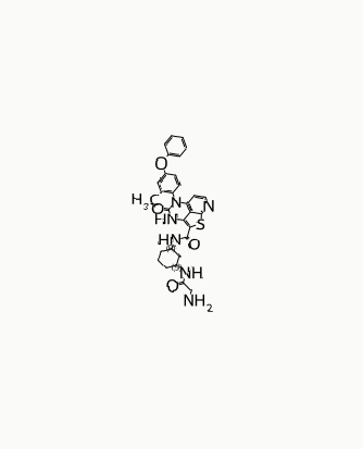 Cc1cc(Oc2ccccc2)ccc1N1C(=O)Nc2c(C(=O)N[C@@H]3CCC[C@H](NC(=O)CN)C3)sc3nccc1c23